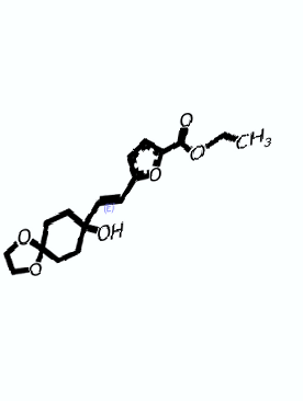 CCOC(=O)c1ccc(/C=C/C2(O)CCC3(CC2)OCCO3)o1